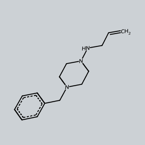 C=CCNN1CCN(Cc2ccccc2)CC1